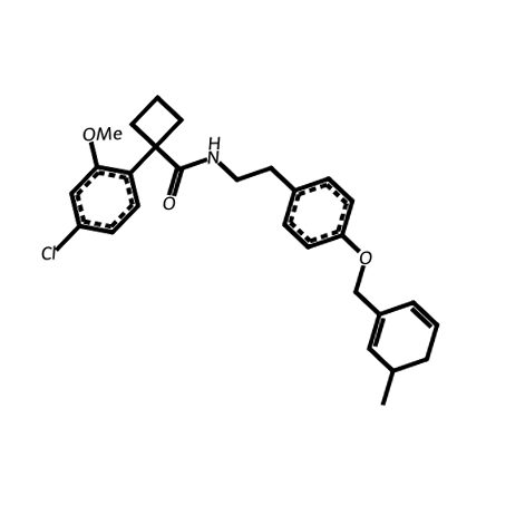 COc1cc(Cl)ccc1C1(C(=O)NCCc2ccc(OCC3=CC(C)CC=C3)cc2)CCC1